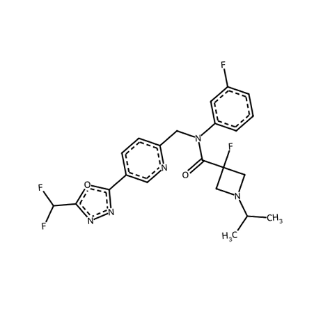 CC(C)N1CC(F)(C(=O)N(Cc2ccc(-c3nnc(C(F)F)o3)cn2)c2cccc(F)c2)C1